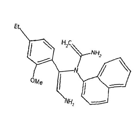 C=C(N)N(/C(=C\N)c1ccc(CC)cc1OC)c1cccc2ccccc12